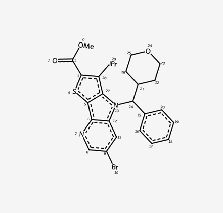 COC(=O)c1sc2c3ncc(Br)cc3n(C(c3ccccc3)C3CCOCC3)c2c1C(C)C